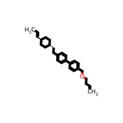 C=CCCOCc1ccc(-c2ccc(CC[C@H]3CC[C@H](C=CC)CC3)cc2)cc1